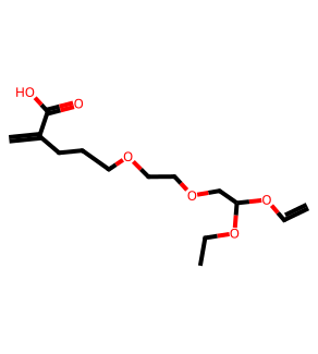 C=COC(COCCOCCCC(=C)C(=O)O)OCC